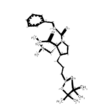 COC(=O)[C@]1(CN(C)C)[C@H](CCCB2OC(C)(C)C(C)(C)O2)CCN1C(=O)OCc1ccccc1